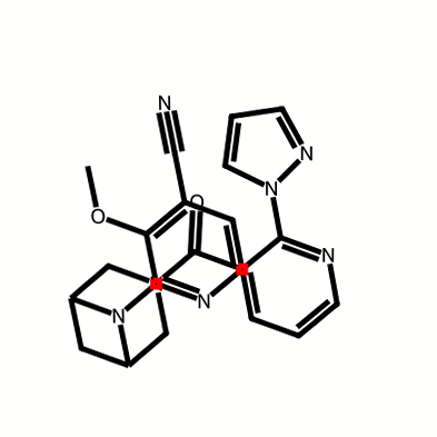 COc1c(C#N)ccnc1N1C2CC1CN(C(=O)c1cccnc1-n1cccn1)C2